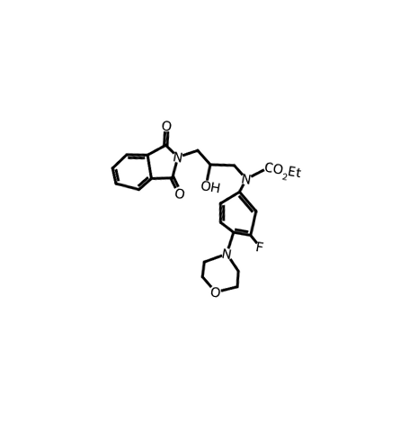 CCOC(=O)N(CC(O)CN1C(=O)c2ccccc2C1=O)c1ccc(N2CCOCC2)c(F)c1